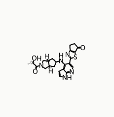 C[C@H](O)C(=O)N1C[C@H]2CC(Nc3c(-c4nc5c(s4)C(=O)CC5)cnc4[nH]ccc34)C[C@H]2C1